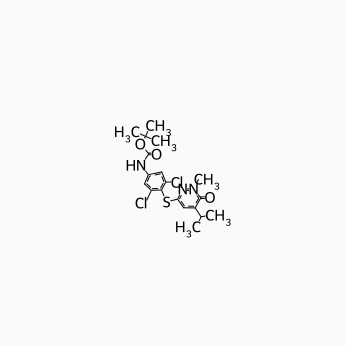 CC(C)c1cc(Sc2c(Cl)cc(NC(=O)OC(C)(C)C)cc2Cl)nn(C)c1=O